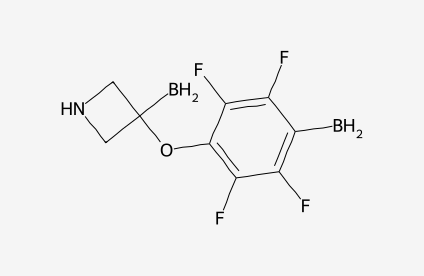 Bc1c(F)c(F)c(OC2(B)CNC2)c(F)c1F